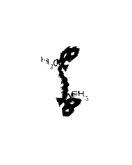 CN1/C(=C/C=C/C=C/C=C/C=C/C2=[N+](C)c3ccc4ccccc4c3C23CC3)C2(CC2)c2c1ccc1ccccc21